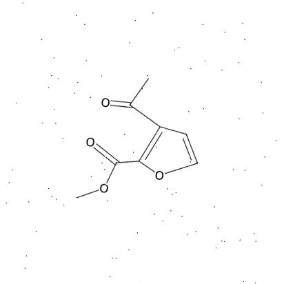 COC(=O)c1occc1C(C)=O